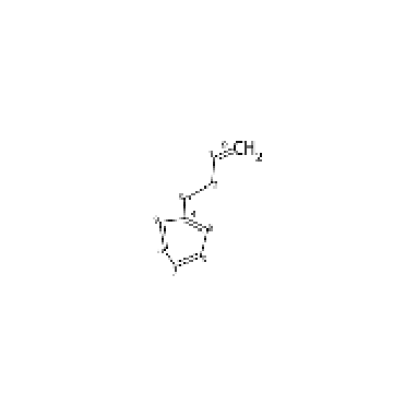 C=CC[CH]c1ccccc1